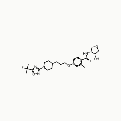 Cc1cc(OCCCC2CCN(c3noc(C(C)(C)F)n3)CC2)ccc1C(=O)N[C@@H]1COC[C@H]1O